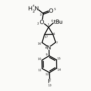 CC(C)(C)C1(OC(N)=O)C2CN(c3ccc(F)cc3)CC21